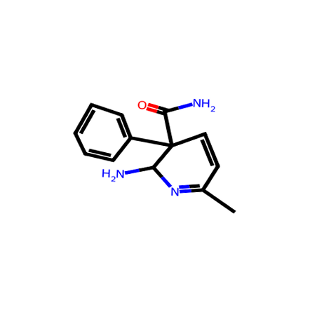 CC1=NC(N)C(C(N)=O)(c2ccccc2)C=C1